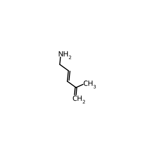 C=C(C)C=CCN